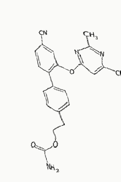 Cc1nc(Cl)cc(Oc2cc(C#N)ccc2-c2ccc(CCOC(N)=O)cc2)n1